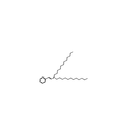 CCCCCCCCCCCCP(C=Cc1ccccn1)CCCCCCCCCCCC